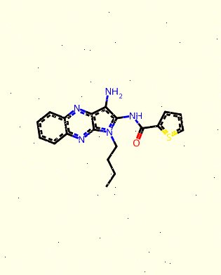 CCCCn1c(NC(=O)c2cccs2)c(N)c2nc3ccccc3nc21